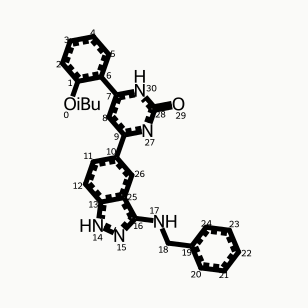 CC(C)COc1ccccc1-c1cc(-c2ccc3[nH]nc(NCc4ccccc4)c3c2)nc(=O)[nH]1